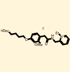 CCCCCCCCCCCCCCOc1ccc(CC(=O)NCc2cccc[n+]2CC)c(OC)c1.[I-]